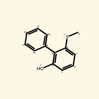 CSc1cccc(O)c1-c1ccccc1